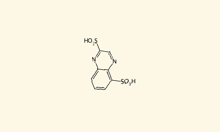 O=S(=O)(O)c1cnc2c(S(=O)(=O)O)cccc2n1